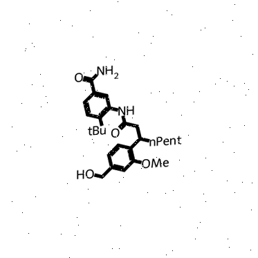 CCCCCC(CC(=O)Nc1cc(C(N)=O)ccc1C(C)(C)C)c1ccc(CO)cc1OC